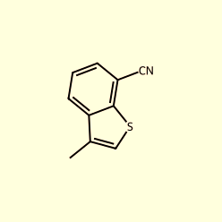 Cc1csc2c(C#N)cccc12